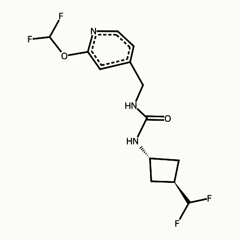 O=C(NCc1ccnc(OC(F)F)c1)N[C@H]1C[C@H](C(F)F)C1